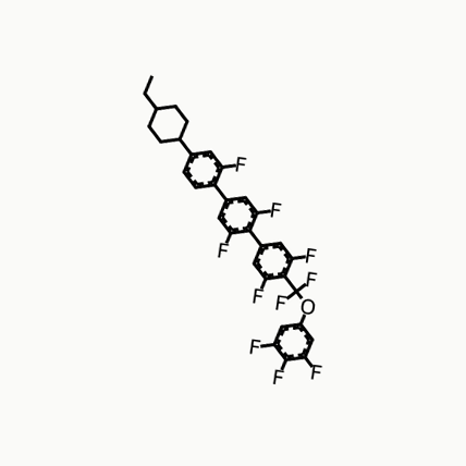 CCC1CCC(c2ccc(-c3cc(F)c(-c4cc(F)c(C(F)(F)Oc5cc(F)c(F)c(F)c5)c(F)c4)c(F)c3)c(F)c2)CC1